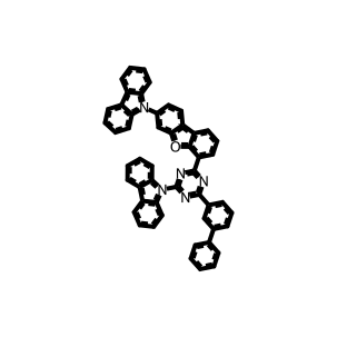 c1ccc(-c2cccc(-c3nc(-c4cccc5c4oc4cc(-n6c7ccccc7c7ccccc76)ccc45)nc(-n4c5ccccc5c5ccccc54)n3)c2)cc1